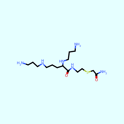 NCCCNCCCC(NCCCN)C(=O)NCCSCC(N)=O